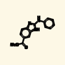 COC(=O)c1ccc2nc(Nc3ccccc3)[nH]c2c1